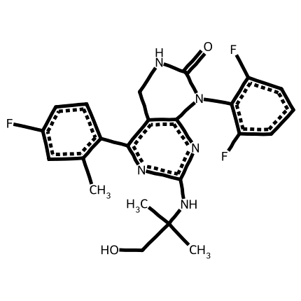 Cc1cc(F)ccc1-c1nc(NC(C)(C)CO)nc2c1CNC(=O)N2c1c(F)cccc1F